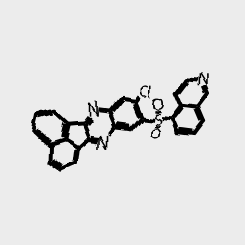 O=S(=O)(c1cc2nc3c(nc2cc1Cl)-c1cccc2cccc-3c12)c1cccc2cnccc12